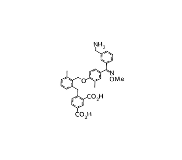 CON=C(c1cccc(CN)c1)c1ccc(OCc2c(C)cccc2Cc2ccc(C(=O)O)cc2C(=O)O)c(C)c1